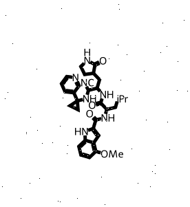 COc1cccc2[nH]c(C(=O)NC(CC(C)C)C(=O)NC(CC3CCNC3=O)C(C#N)NC3(c4cccnc4)CC3)cc12